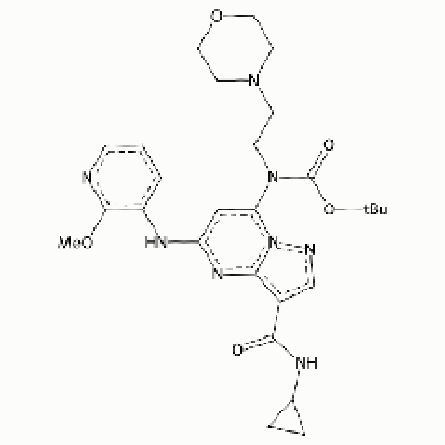 COc1ncccc1Nc1cc(N(CCN2CCOCC2)C(=O)OC(C)(C)C)n2ncc(C(=O)NC3CC3)c2n1